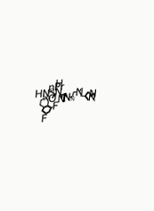 CCC[C@H](N[C@H]1CCc2cc(F)cc(F)c2C1)C(=O)Nc1cn([C@@H](C)CN(C)Cc2cnn(C)c2)cn1